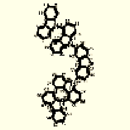 C1=Cc2c(c3ccccc3n2-c2cccc3c2c2ccccc2n3-c2ccc3sc4ccc(-n5c6ccccc6c6c(-n7c8ccccc8c8ccccc87)cccc65)cc4c3c2)CC1